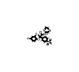 CC(Oc1ccc(F)cc1F)(C(=O)Nc1cnccn1)c1ccc(S(C)(=O)=O)cc1